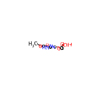 CCCCOc1ccc(C(=O)Nc2ccc(N3CCC(COc4cccc(C(=O)O)c4)CC3)nc2)cc1